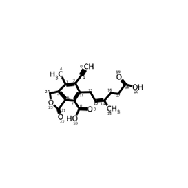 C#Cc1c(C)c2c(c(C(=O)O)c1CC=C(C)CCC(=O)O)C(=O)OC2